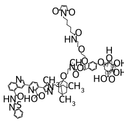 Cc1c(-c2ccc(-c3cnc4cccc(C(=O)Nc5nc6ccccc6s5)c4c3)nc2C(=O)O)cnn1CC12CC3(C)CC(C)(C1)CC(OCCN(C)C(=O)OCc1ccc(O[C@@H]4C[C@H](C(=O)O)[C@@H](O)[C@H](O)[C@H]4O)cc1OCCOCCNC(=O)CCCCCN1C(=O)C=CC1=O)(C3)C2